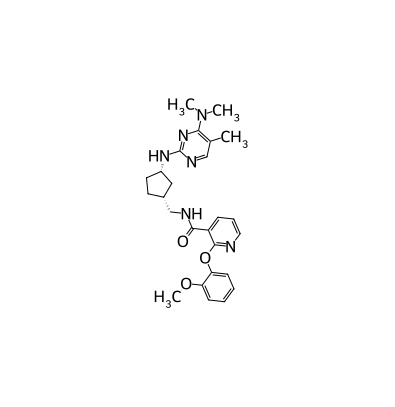 COc1ccccc1Oc1ncccc1C(=O)NC[C@@H]1CC[C@H](Nc2ncc(C)c(N(C)C)n2)C1